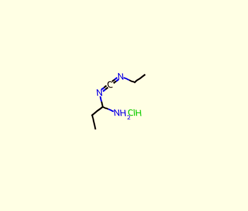 CCN=C=NC(N)CC.Cl